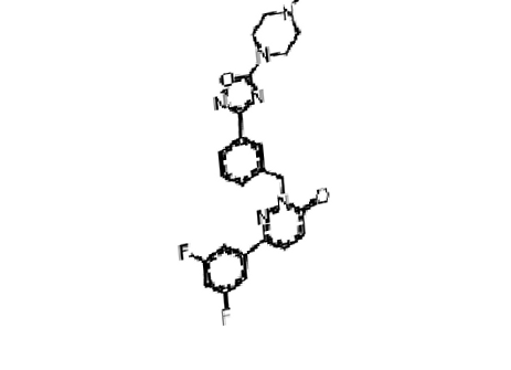 CN1CCN(c2nc(-c3cccc(Cn4nc(-c5cc(F)cc(F)c5)ccc4=O)c3)no2)CC1